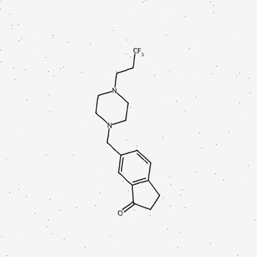 O=C1CCc2ccc(CN3CCN(CCC(F)(F)F)CC3)cc21